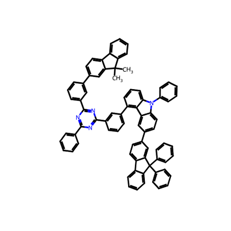 CC1(C)c2ccccc2-c2ccc(-c3cccc(-c4nc(-c5ccccc5)nc(-c5cccc(-c6cccc7c6c6cc(-c8ccc9c(c8)C(c8ccccc8)(c8ccccc8)c8ccccc8-9)ccc6n7-c6ccccc6)c5)n4)c3)cc21